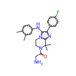 Cc1ccc(Nc2c(-c3ccc(F)cc3)nc3n2CCN(C(=O)CN)C3(C)C)cc1C